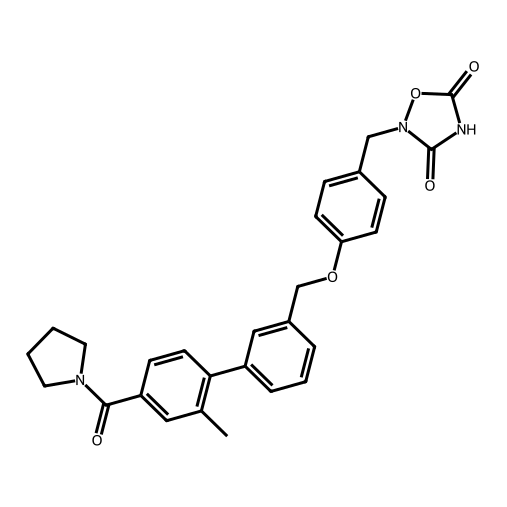 Cc1cc(C(=O)N2CCCC2)ccc1-c1cccc(COc2ccc(Cn3oc(=O)[nH]c3=O)cc2)c1